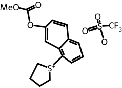 COC(=O)Oc1ccc2cccc([S+]3CCCC3)c2c1.O=S(=O)([O-])C(F)(F)F